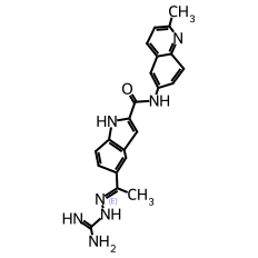 C/C(=N\NC(=N)N)c1ccc2[nH]c(C(=O)Nc3ccc4nc(C)ccc4c3)cc2c1